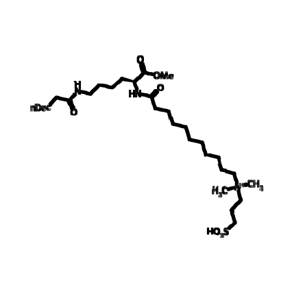 CCCCCCCCCCCC(=O)NCCCC[C@H](NC(=O)CCCCCCCCCC[N+](C)(C)CCCS(=O)(=O)O)C(=O)OC